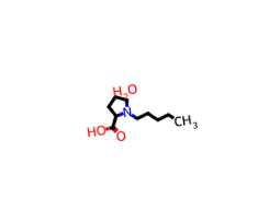 CCCCCN1CCCC1C(=O)O.O